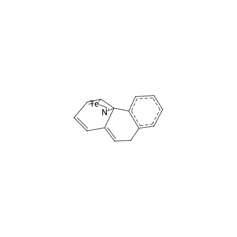 C1=CC2=CCc3ccccc3C23N=C[Te]C3=C1